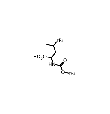 CC(CC(NC(=O)OC(C)(C)C)C(=O)O)C(C)(C)C